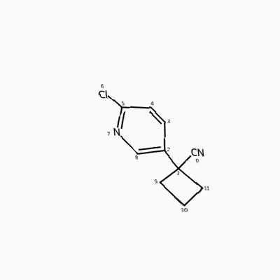 N#CC1(c2ccc(Cl)nc2)CCC1